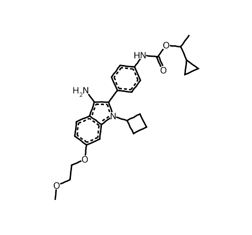 COCCOc1ccc2c(N)c(-c3ccc(NC(=O)OC(C)C4CC4)cc3)n(C3CCC3)c2c1